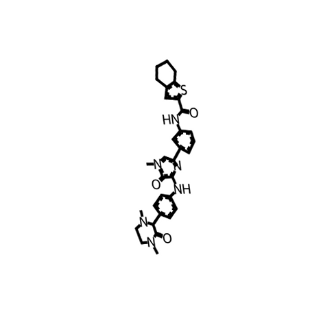 CN1CCN(C)C(c2ccc(Nc3nc(-c4cccc(NC(=O)c5cc6c(s5)CCCC6)c4)cn(C)c3=O)cc2)C1=O